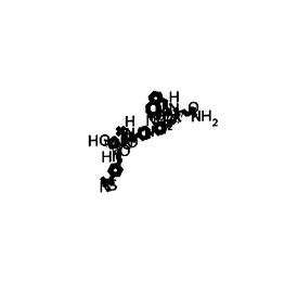 Cc1ncsc1-c1ccc(CNC(=O)[C@@H]2C[C@@H](O)CN2C(=O)[C@@H](NC(=O)C2CCN(c3ccc(CO[C@H](C)[C@H](CCC(N)=O)NC(=O)[C@@H]4Cc5cccc6c5N4C(=O)[C@@H](N)CC6)cc3)CC2)C(C)(C)C)cc1